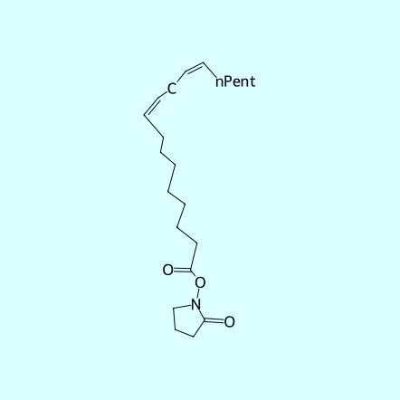 CCCCC/C=C\C/C=C\CCCCCCCC(=O)ON1CCCC1=O